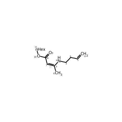 C=CCCN/C(C)=C\C(=O)OCCCCCC